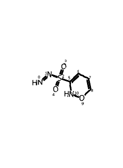 N=NS(=O)(=O)C1=CC=CON1